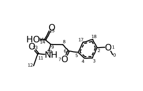 COc1ccc(C(=O)CC(NC(C)=O)C(=O)O)cc1